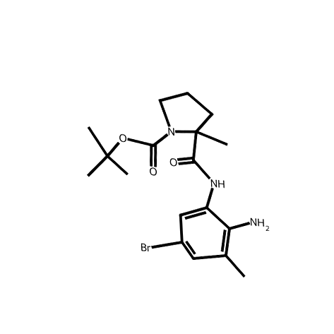 Cc1cc(Br)cc(NC(=O)C2(C)CCCN2C(=O)OC(C)(C)C)c1N